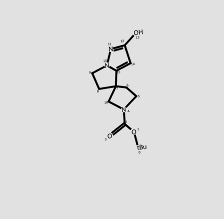 CC(C)(C)OC(=O)N1CCC2(CCn3nc(O)cc32)C1